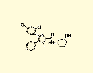 Cc1c(C(=O)NC2CCCC(O)C2)nn(-c2ccc(Cl)cc2Cl)c1-c1cc[c]cc1